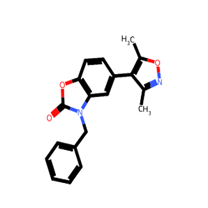 Cc1noc(C)c1-c1ccc2oc(=O)n(Cc3ccccc3)c2c1